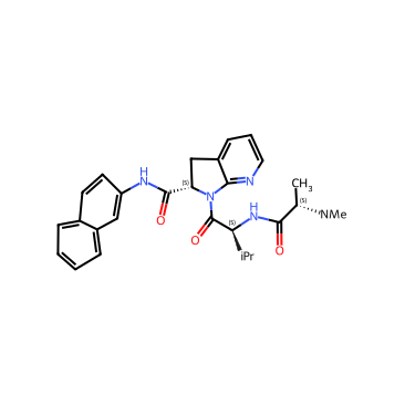 CN[C@@H](C)C(=O)N[C@H](C(=O)N1c2ncccc2C[C@H]1C(=O)Nc1ccc2ccccc2c1)C(C)C